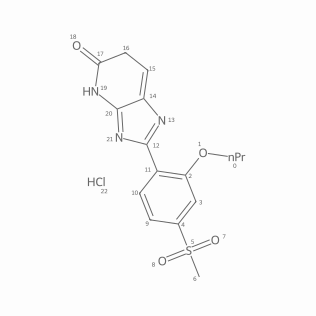 CCCOc1cc(S(C)(=O)=O)ccc1C1=NC2=CCC(=O)NC2=N1.Cl